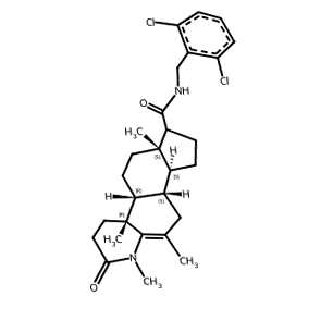 CC1=C2N(C)C(=O)CC[C@]2(C)[C@@H]2CC[C@]3(C)C(C(=O)NCc4c(Cl)cccc4Cl)CC[C@H]3[C@@H]2C1